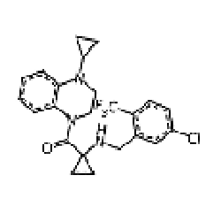 O=C(N1CCN(C2CC2)c2ccccc21)C1(NCc2cc(Cl)ccc2C(F)(F)F)CC1